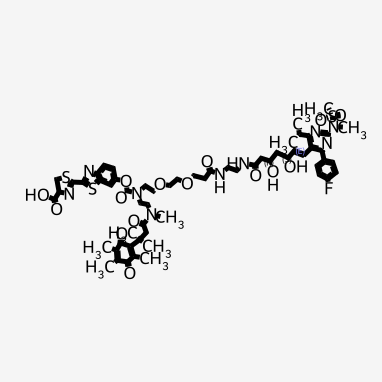 CC1=C(C)C(=O)C(C(C)(C)CC(=O)N(C)CCN(CCOCCOCCC(=O)NCCNC(=O)C[C@H](O)C[C@H](O)/C=C/c2c(-c3ccc(F)cc3)nc(N(C)S(C)(=O)=O)nc2C(C)C)C(=O)Oc2ccc3nc(C4=NC(C(=O)O)CS4)sc3c2)=C(C)C1=O